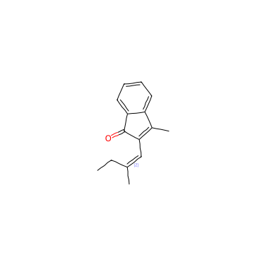 CC/C(C)=C\C1=C(C)c2ccccc2C1=O